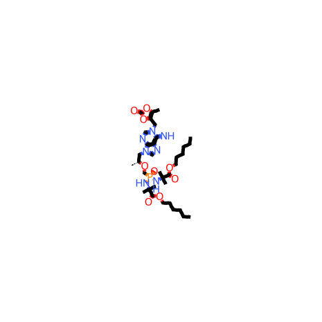 CCCCCCOC(=O)C(C)(C)NP(=O)(CO[C@H](C)Cn1cnc2c(=N)n(Cc3oc(=O)oc3C)cnc21)NC(C)(C)C(=O)OCCCCCC